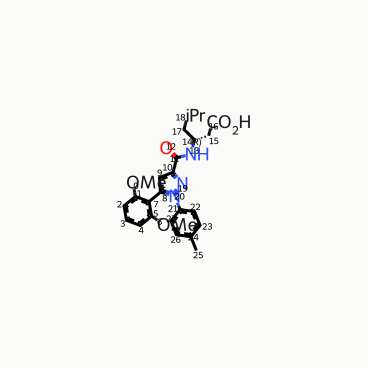 COc1cccc(OC)c1-c1cc(C(=O)N[C@@H](CC(=O)O)CC(C)C)nn1-c1ccc(C)cc1